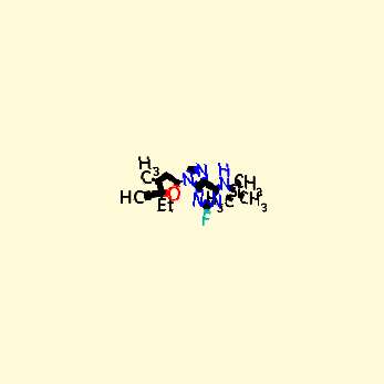 C#C[C@]1(CC)O[C@@H](n2cnc3c(N[Si](C)(C)C)nc(F)nc32)C[C@@H]1C